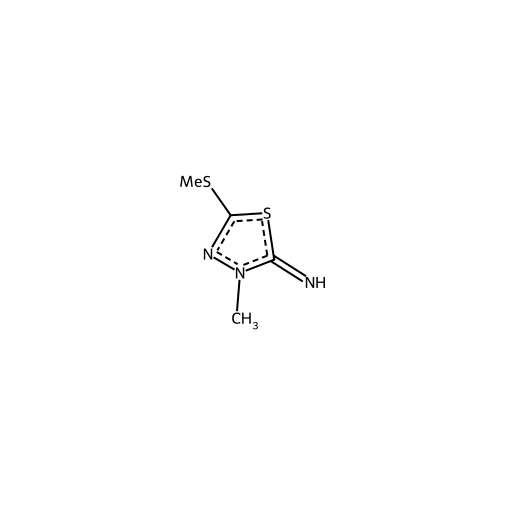 CSc1nn(C)c(=N)s1